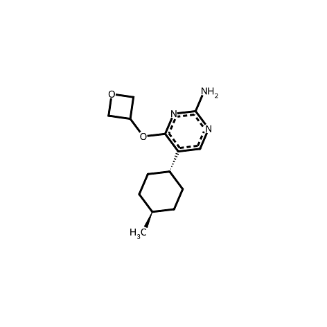 C[C@H]1CC[C@H](c2cnc(N)nc2OC2COC2)CC1